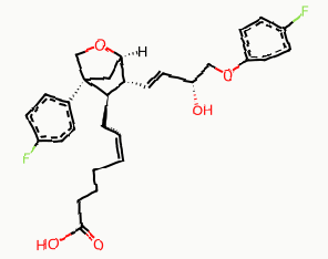 O=C(O)CCC/C=C\C[C@@H]1[C@@H](/C=C/[C@@H](O)COc2ccc(F)cc2)[C@H]2C[C@]1(c1ccc(F)cc1)CO2